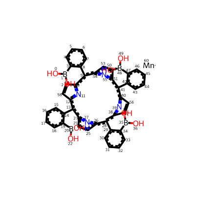 OB(O)c1ccccc1-c1c2nc(c(-c3ccccc3B(O)O)c3ccc([nH]3)c(-c3ccccc3B(O)O)c3nc(c(-c4ccccc4B(O)O)c4ccc1[nH]4)C=C3)C=C2.[Mn]